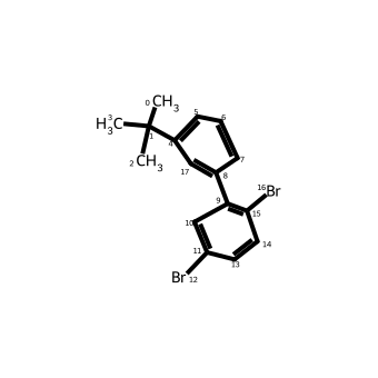 CC(C)(C)c1cccc(-c2cc(Br)ccc2Br)c1